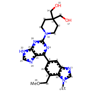 CCn1cnc2cc(-c3nc(N4CCC(CO)(CO)CC4)nc4[nH]cnc34)cc(COC)c21